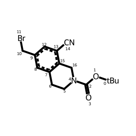 CC(C)(C)OC(=O)N1CCc2cc(CBr)cc(C#N)c2C1